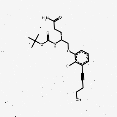 CC(C)(C)OC(=O)NC(CCC(N)=O)COc1cccc(C#CCCO)c1Cl